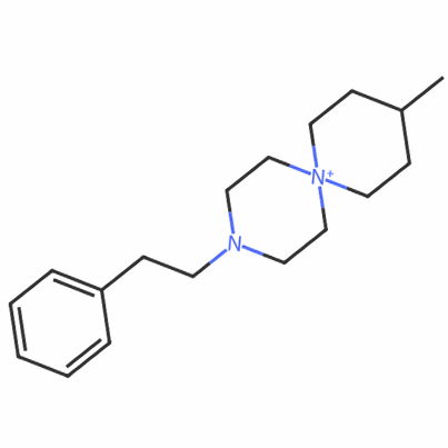 CC1CC[N+]2(CC1)CCN(CCc1ccccc1)CC2